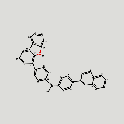 CC(c1ccc(-c2ccc3ccccc3c2)cc1)c1ccc(-c2cccc3c2oc2ccccc23)cc1